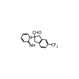 N=c1ccccn1C1(C=O)Cc2ccc(C(F)(F)F)cc2C1